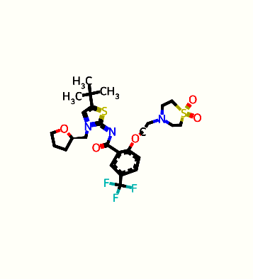 CC(C)(C)c1cn(C[C@H]2CCCO2)c(=NC(=O)c2cc(C(F)(F)F)ccc2OCCN2CCS(=O)(=O)CC2)s1